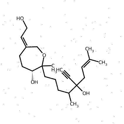 C#CC(O)(CC=C(C)C)C(C)CCCC1(C)OCC(=CCO)CC[C@H]1O